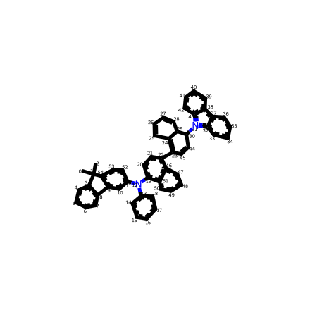 CC1(C)c2ccccc2-c2cc(N(c3ccccc3)c3ccc(C4=C5C=CC=CC5C(n5c6ccccc6c6ccccc65)C=C4)c4ccccc34)ccc21